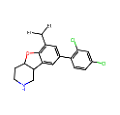 CCC(CC)c1cc(-c2ccc(Cl)cc2Cl)cc2c1OC1CCNCC21